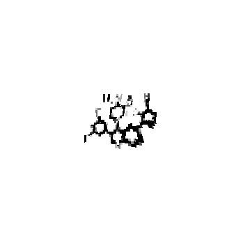 COC1CN(c2c(-c3cc(F)cc(F)c3)cnc3ccc(-c4cccc(C#N)c4O)cc23)CCC1N